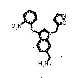 NCc1ccc2c(Sc3ccccc3[N+](=O)[O-])cn(Cc3ccno3)c2c1